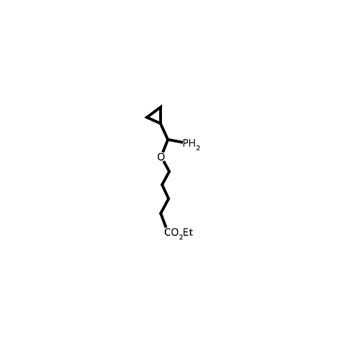 CCOC(=O)CCCCOC(P)C1CC1